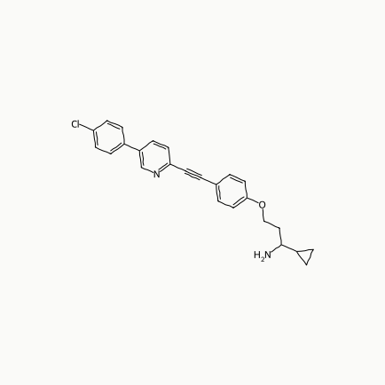 NC(CCOc1ccc(C#Cc2ccc(-c3ccc(Cl)cc3)cn2)cc1)C1CC1